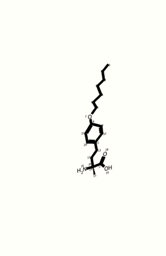 CCCCCCCOc1ccc(CC[C@@](C)(N)C(=O)O)cc1